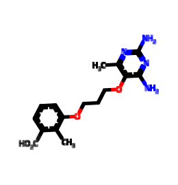 Cc1nc(N)nc(N)c1OCCCOc1cccc(C(=O)O)c1C